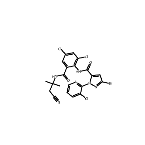 CC(C)(CC#N)NC(=O)c1cc(Cl)cc(Cl)c1NC(=O)c1cc(Br)nn1-c1ncccc1Cl